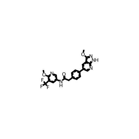 COc1ncc(NC(=O)Cc2ccc(-c3cnc4[nH]nc(OC)c4c3)cc2)cc1C(F)(F)F